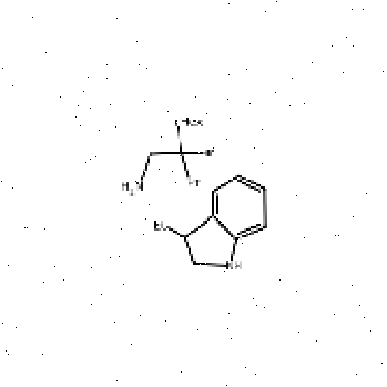 CCC1CNc2ccccc21.CCCCCCC(Br)(CC)CN